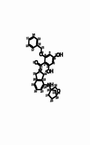 O=C(c1c(O)cc(O)cc1OCc1ccccc1)N1Cc2cccc(NC34CCC(C3)OC4)c2C1